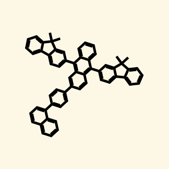 CC1(C)c2ccccc2-c2ccc(-c3c4ccccc4c(-c4ccc5c(c4)C(C)(C)c4ccccc4-5)c4cc(-c5ccc(-c6cccc7ccccc67)cc5)ccc34)cc21